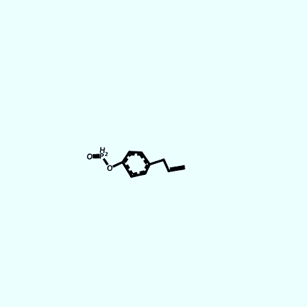 C=CCc1ccc(O[PH2]=O)cc1